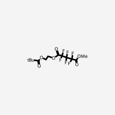 COC(=O)C(F)(F)C(F)(F)C(F)(F)C(=O)OCCOC(=O)C(C)(C)C